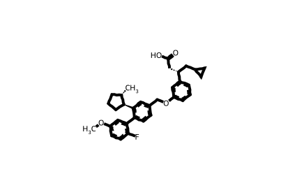 COc1ccc(F)c(-c2ccc(COc3cccc([C@H](CC(=O)O)CC4CC4)c3)cc2[C@H]2CCC[C@@H]2C)c1